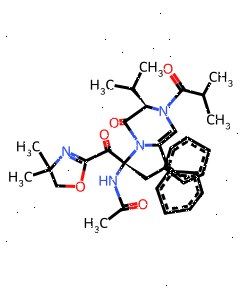 CC(=O)N[C@](Cc1ccccc1)(C(=O)C1=NC(C)(C)CO1)N1C(=O)[C@@H](C(C)C)N(C(=O)C(C)C)C=C1c1ccccc1